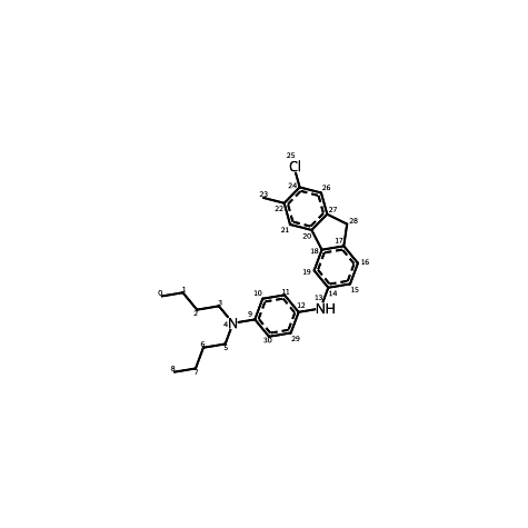 CCCCN(CCCC)c1ccc(Nc2ccc3c(c2)-c2cc(C)c(Cl)cc2C3)cc1